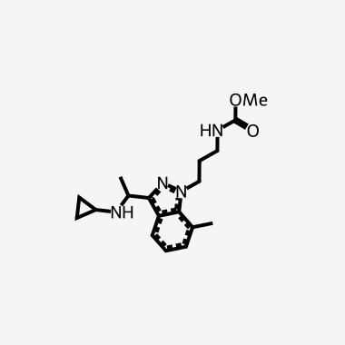 COC(=O)NCCCn1nc(C(C)NC2CC2)c2cccc(C)c21